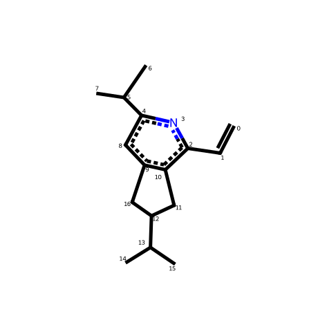 C=Cc1nc(C(C)C)cc2c1CC(C(C)C)C2